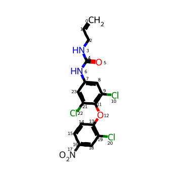 C=CCNC(=O)Nc1cc(Cl)c(Oc2ccc([N+](=O)[O-])cc2Cl)c(Cl)c1